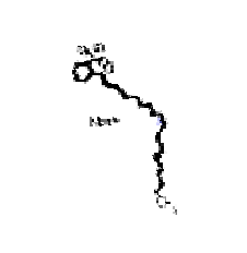 CCCCCCCC/C=C\CCCCCCCC(=O)c1ccccc1S(=O)(=O)[O-].[Na+]